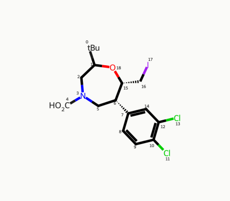 CC(C)(C)C1CN(C(=O)O)C[C@@H](c2ccc(Cl)c(Cl)c2)[C@@H](CI)O1